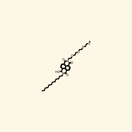 CCCCCCCCCCCCN1C(=O)c2ccc3c4c(ccc(c24)C1O)C(=O)N(CCOCCOCCOCCOC)C3=O